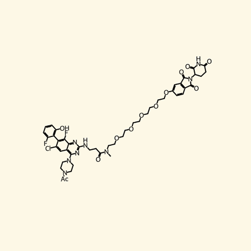 CC(=O)N1CCN(c2nc(NCCC(=O)N(C)CCOCCOCCOCCOCCOc3ccc4c(c3)C(=O)N(C3CCC(=O)NC3=O)C4=O)nc3c(F)c(-c4c(O)cccc4F)c(Cl)cc23)CC1